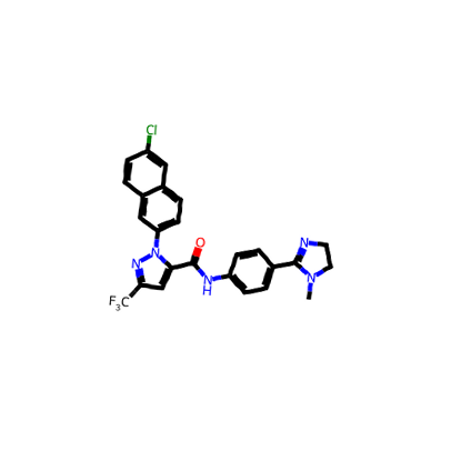 CN1CCN=C1c1ccc(NC(=O)c2cc(C(F)(F)F)nn2-c2ccc3cc(Cl)ccc3c2)cc1